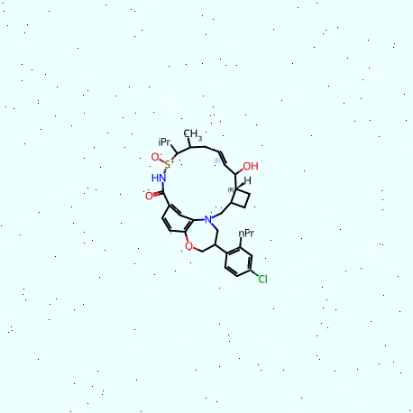 CCCc1cc(Cl)ccc1C1COc2ccc3cc2N(C1)CC1CC[C@H]1C(O)/C=C/CC(C)C(C(C)C)[S+]([O-])NC3=O